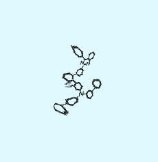 c1ccc(-c2ccc(N(c3cccc(-c4ccccc4)c3)c3ccc4c(c3)sc3cccc(-c5cccc(-c6nc(-c7ccccc7)c7ccccc7n6)c5)c34)cc2)cc1